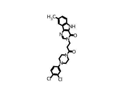 Cc1ccc2[nH]c3c(=O)n(CCC(=O)N4CCN(c5ccc(Cl)c(Cl)c5)CC4)cnc3c2c1